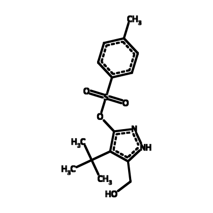 Cc1ccc(S(=O)(=O)Oc2n[nH]c(CO)c2C(C)(C)C)cc1